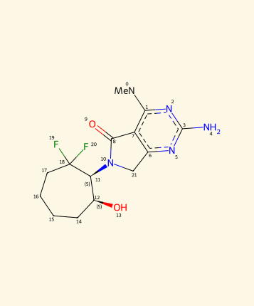 CNc1nc(N)nc2c1C(=O)N([C@H]1[C@@H](O)CCCCC1(F)F)C2